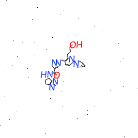 Cn1cnc2c1CC[C@H]2NC(=O)c1cnn(Cc2ccc(N3CC4CC4C3)nc2CCCO)c1